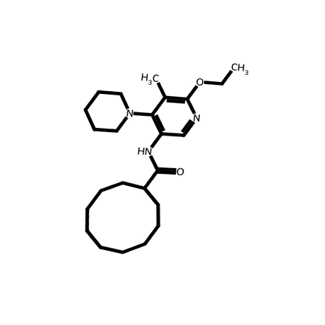 CCOc1ncc(NC(=O)C2CCCCCCCCC2)c(N2CCCCC2)c1C